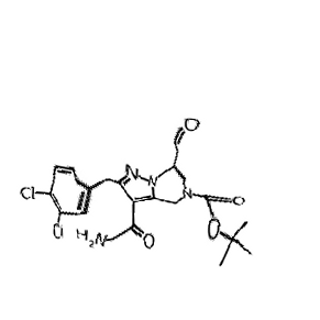 CC(C)(C)OC(=O)N1Cc2c(C(N)=O)c(-c3ccc(Cl)c(Cl)c3)nn2C(C=O)C1